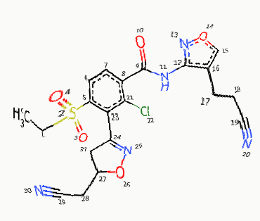 CCS(=O)(=O)c1ccc(C(=O)Nc2nocc2CCC#N)c(Cl)c1C1=NOC(CC#N)C1